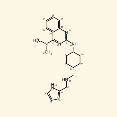 CN(C)c1nc(N[C@H]2CC[C@@H](CNCc3ccc[nH]3)CC2)nc2ccccc12